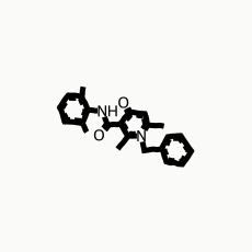 Cc1cccc(C)c1NC(=O)c1c(C)n(Cc2ccccc2)c(C)cc1=O